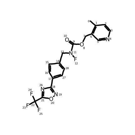 Cc1ccncc1COC(=O)N(F)Cc1ccc(-c2noc(C(F)(F)F)n2)cc1